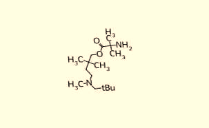 CN(CCC(C)(C)COC(=O)C(C)(C)N)CC(C)(C)C